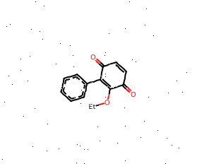 CCOC1=C(c2ccccc2)C(=O)C=CC1=O